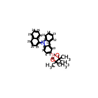 CC1(C)OB(c2ccc3c(c2)c2ccccc2n3-c2cccc3ccccc23)OC1(C)C